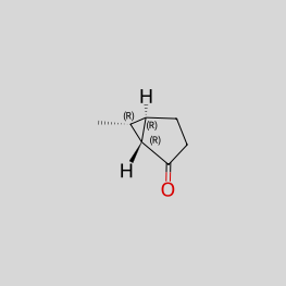 C[C@@H]1[C@H]2CCC(=O)[C@H]12